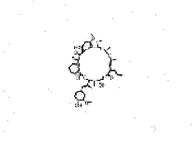 C=CC[C@@H]1/C=C(\C)C[C@H](C)C[C@H](OC)[C@H]2OC(O)(C(=O)C(=O)N3CCCC[C@H]3C(=O)O[C@H](/C(C)=C/[C@@H]3CC[C@@H](O)[C@H](OC)C3)[C@H](C)[C@@H](O)CC1=O)[C@H](C)C[C@@H]2OC